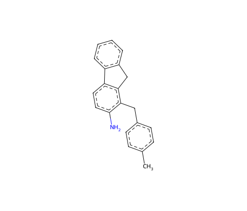 Cc1ccc(Cc2c(N)ccc3c2Cc2ccccc2-3)cc1